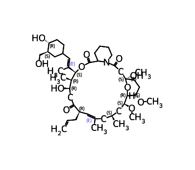 C=CC[C@@H]1/C=C(\C)C[C@H](C)C[C@H](OC)[C@H]2O[C@@](O)(CC(=O)N3CCCCC3C(=O)O[C@H](/C(C)=C/C3CC[C@@H](O)[C@H](CO)C3)[C@H](C)[C@H](O)CC1=O)[C@H](C)C[C@@H]2OC